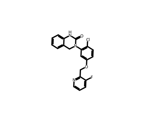 O=C1Nc2ccccc2CN1c1cc(OCc2ncccc2F)ccc1Cl